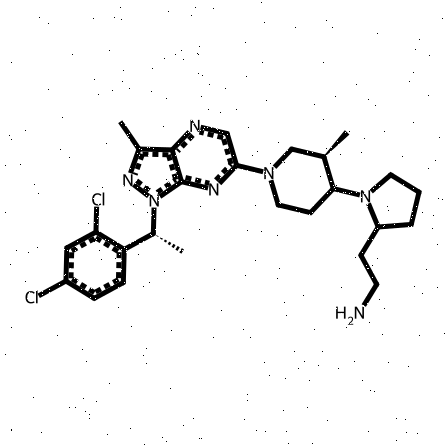 Cc1nn([C@H](C)c2ccc(Cl)cc2Cl)c2nc(N3CCC(N4CCCC4CCN)[C@H](C)C3)cnc12